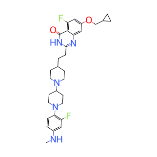 CNc1ccc(N2CCC(N3CCC(CCc4nc5cc(OCC6CC6)cc(F)c5c(=O)[nH]4)CC3)CC2)c(F)c1